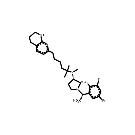 COc1c(F)cc(C(C)C)cc1[C@@H](C(=O)O)N1CC[C@@H](N(C)C(C)(C)CCCCc2ccc3c(n2)NCCC3)C1